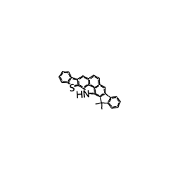 CC1(C)c2ccccc2-c2cc3ccc4cc5c6ccccc6sc5c5[nH]c(c21)c3c45